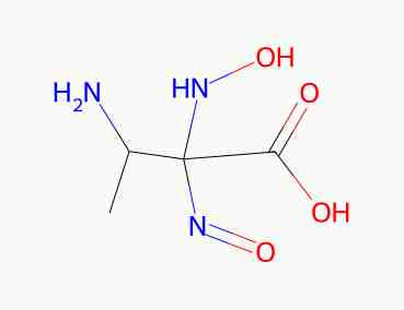 CC(N)C(N=O)(NO)C(=O)O